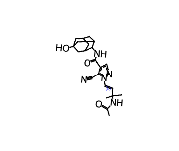 CC(=O)NC(C)(C)/C=C/n1ncc(C(=O)NC2C3CC4CC2CC(O)(C4)C3)c1C#N